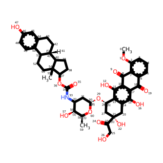 COc1cccc2c1C(=O)c1c(O)c3c(c(O)c1C2=O)C[C@@](O)(C(=O)CO)C[C@@H]3O[C@H]1CC(NC(=O)OC2CCC3[C@H]4CCc5cc(O)ccc5C4CCC23C)[C@H](O)[C@H](C)O1